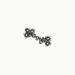 O=C(NCCOCCOCCOC(c1ccccc1)(c1ccccc1)c1ccccc1)OCC1c2ccccc2-c2ccccc21